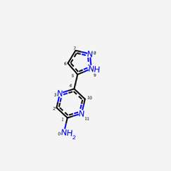 Nc1cnc(-c2ccn[nH]2)cn1